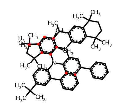 Cc1cc(C)c2c(c1)N(c1ccc(C(C)(C)C)cc1-c1ccccc1)c1ccc(-c3ccccc3)cc1B2c1cc2c(cc1C(C)c1cc3c(cc1C)C(C)(C)CC3(C)C)C(C)(C)CCC2(C)C